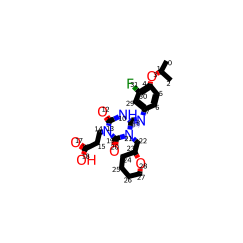 CC(C)Oc1ccc(/N=c2\[nH]c(=O)n(CCC(=O)O)c(=O)n2CC2CCCCO2)cc1F